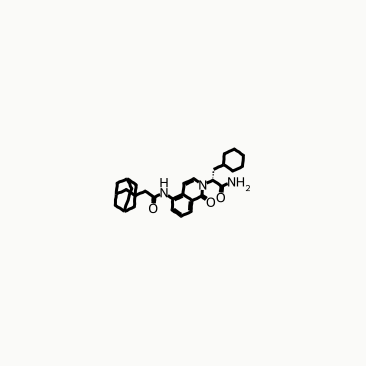 NC(=O)[C@@H](CC1CCCCC1)n1ccc2c(NC(=O)CC34CC5CC(CC(C5)C3)C4)cccc2c1=O